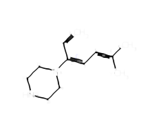 C=C/C(=C\C=C(C)C)N1CCNCC1